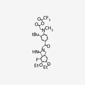 CCOc1cc2c(c(F)c1OCC)C(=N)N(CC(=O)c1ccc(N(C)CC(=O)OC(=O)C(F)(F)F)c(C(C)(C)C)c1)C2